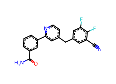 N#Cc1cc(Cc2ccnc(-c3cccc(C(N)=O)c3)c2)cc(F)c1F